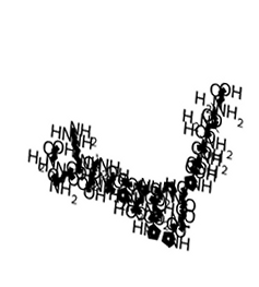 CC(C)[C@H](N)C(=O)O.C[C@@H](OC(=O)[C@@H]1CCCN1)[C@H](N)C(=O)OC(=O)[C@@H](N)CO.C[C@@H](OC(=O)[C@@H]1CCCN1)[C@H](N)C(=O)OC(=O)[C@@H]1CCCN1.C[C@H](N)C(=O)O.C[C@H](N)C(=O)O.C[C@H](N)C(=O)OC[C@H](N)C(=O)O.C[C@H](N)C(=O)O[C@H](C)[C@H](N)C(=O)O.N=C(N)NCCC[C@H](N)C(=O)OC(=O)[C@@H](N)CC(N)=O.NCC(=O)O.NCC(=O)O.N[C@@H](Cc1c[nH]cn1)C(=O)O.O=C(O)[C@@H]1CCCN1.O=C(O)[C@@H]1CCCN1